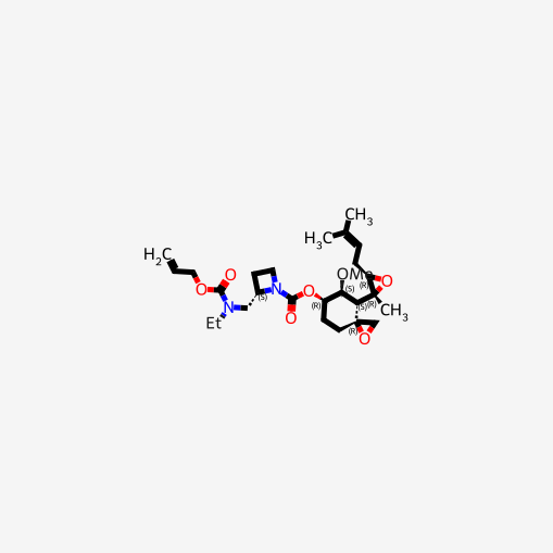 C=CCOC(=O)N(CC)C[C@@H]1CCN1C(=O)O[C@@H]1CC[C@]2(CO2)[C@@H]([C@@]2(C)O[C@@H]2CC=C(C)C)[C@@H]1OC